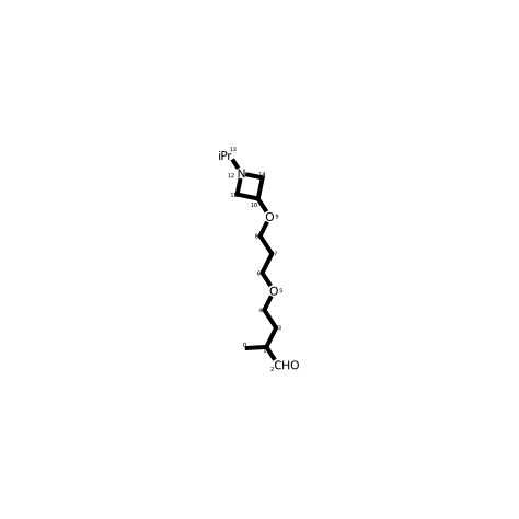 CC(C=O)CCOCCCOC1CN(C(C)C)C1